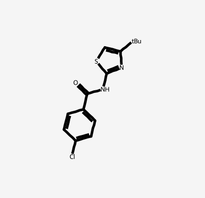 CC(C)(C)c1csc(NC(=O)c2ccc(Cl)cc2)n1